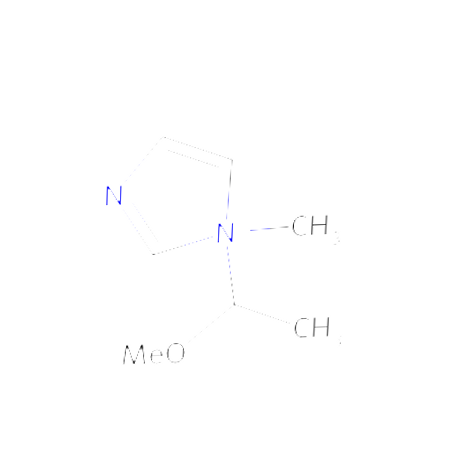 COC(C)[N+]1(C)C=CN=C1